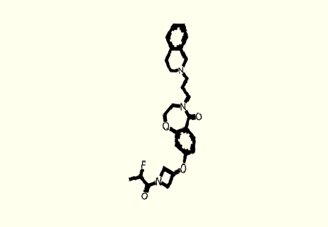 CC(F)C(=O)N1CC(Oc2ccc3c(c2)OCCN(CCCN2CCc4ccccc4C2)C3=O)C1